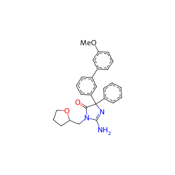 COc1cccc(-c2cccc(C3(c4ccccc4)N=C(N)N(CC4CCCO4)C3=O)c2)c1